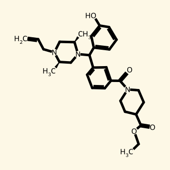 C=CCN1C[C@@H](C)N(C(c2cccc(O)c2)c2cccc(C(=O)N3CCC(C(=O)OCC)CC3)c2)C[C@H]1C